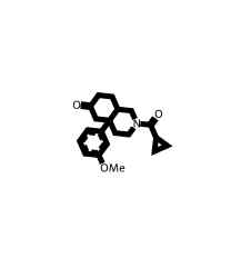 COc1cccc(C23CCN(C(=O)C4CC4)CC2CCC(=O)C3)c1